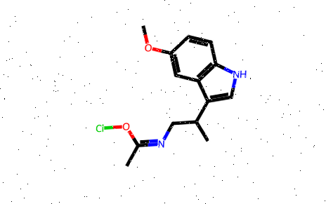 COc1ccc2[nH]cc(C(C)CN=C(C)OCl)c2c1